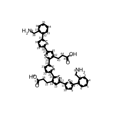 NCc1ccccc1-c1ccc(-c2cc(CCC(=O)O)c(-c3ccc(-c4sc(-c5ccc(-c6ccccc6CN)s5)cc4CCC(=O)O)s3)s2)s1